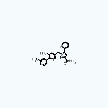 Cc1cc(-c2ncc(Cn3nc(C(N)=O)cc3-c3ccccn3)cc2C)ccn1